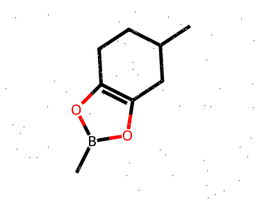 CB1OC2=C(CC(C)CC2)O1